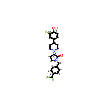 O=C1[C@H](N2CCC(c3ccc(O)c(F)c3)CC2)CCN1Cc1ccc(C(F)F)cc1